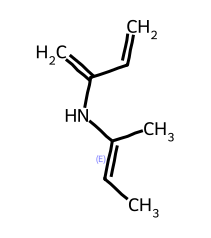 C=CC(=C)N/C(C)=C/C